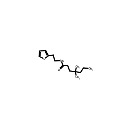 CCCC(C)(C)CCC(=O)NCCc1cccs1